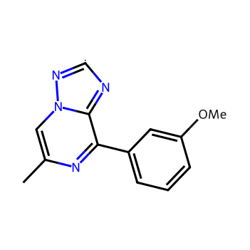 COc1cccc(-c2nc(C)cn3n[c]nc23)c1